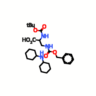 C1CCC(NC2CCCCC2)CC1.CC(C)(C)OC(=O)NC(CNC(=O)OCc1ccccc1)C(=O)O